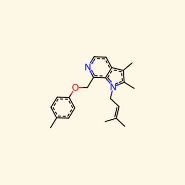 CC(C)=CCn1c(C)c(C)c2ccnc(COc3ccc(C)cc3)c21